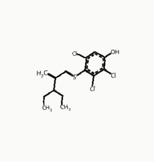 CCC(CC)C(C)CSc1c(Cl)cc(O)c(Cl)c1Cl